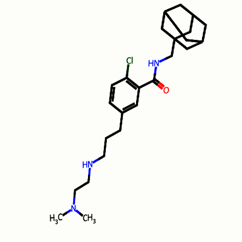 CN(C)CCNCCCc1ccc(Cl)c(C(=O)NCC23CC4CC(CC(C4)C2)C3)c1